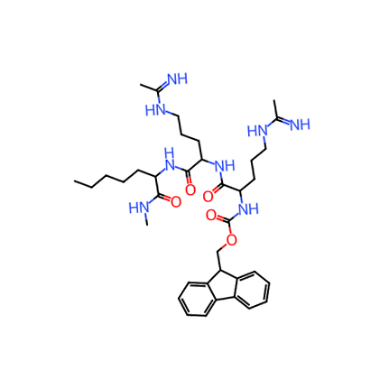 CCCCCC(NC(=O)C(CCCNC(C)=N)NC(=O)C(CCCNC(C)=N)NC(=O)OCC1c2ccccc2-c2ccccc21)C(=O)NC